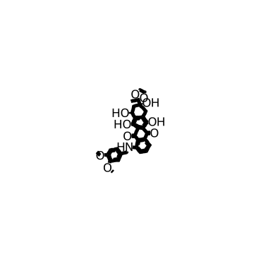 COc1ccc(CNc2cccc3c2C(=O)c2c(O)c4c(c(O)c2C3=O)C[C@@](O)(C2(C)OCCO2)C[C@@H]4O)cc1OC